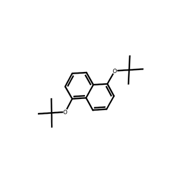 CC(C)(C)Oc1cccc2c(OC(C)(C)C)cccc12